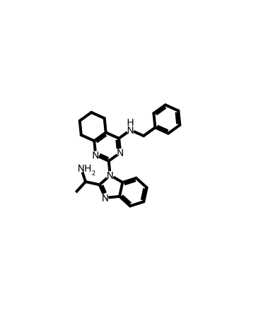 CC(N)c1nc2ccccc2n1-c1nc2c(c(NCc3ccccc3)n1)CCCC2